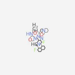 C#Cc1c(F)ccc2cccc(-c3ncc4c(N5CCOCC(NC(=O)C=C)C5)nc(OC[C@@H]5CCCCN5C)nc4c3F)c12